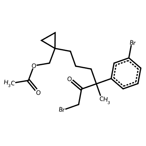 CC(=O)OCC1(CCCC(C)(C(=O)CBr)c2cccc(Br)c2)CC1